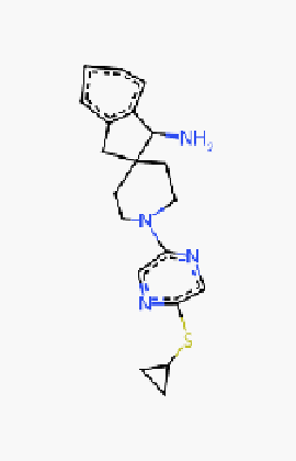 N[C@@H]1c2ccccc2CC12CCN(c1cnc(SC3CC3)cn1)CC2